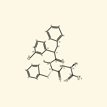 CC(C)[C@H](NC(=O)[C@H](Cc1ccccc1)N(C)C(=O)C(Cc1ccccc1)c1cccc(Cl)c1)C(=O)C(F)(F)F